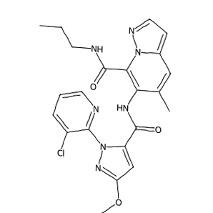 CCCNC(=O)c1c(NC(=O)c2cc(OC)nn2-c2ncccc2Cl)c(C)cc2ccnn12